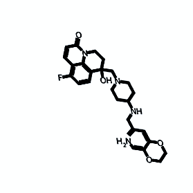 C=C(/C=C1/OCCO/C1=C/N)CNC1CCN(CC2(O)CCn3c(=O)ccc4c(F)ccc2c43)CC1